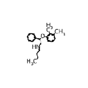 CCCCNC[C@@H](Oc1cccc(C)c1C)c1ccccc1